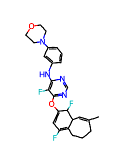 CC1=CC2C(=C(F)C=C(Oc3ncnc(Nc4cccc(N5CCOCC5)c4)c3F)C2F)CCC1